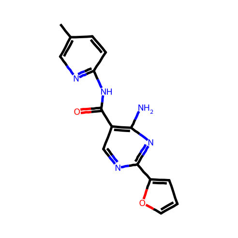 Cc1ccc(NC(=O)c2cnc(-c3ccco3)nc2N)nc1